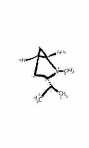 CC(C)[C@@H]1C[C@@H]2C[C@@H]2N1C